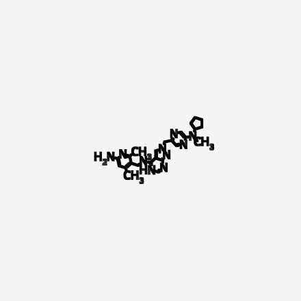 Cc1cc(N)nc(C)c1CNc1ncnc2nn(Cc3cnc(N(C)C4CCCC4)cn3)cc12